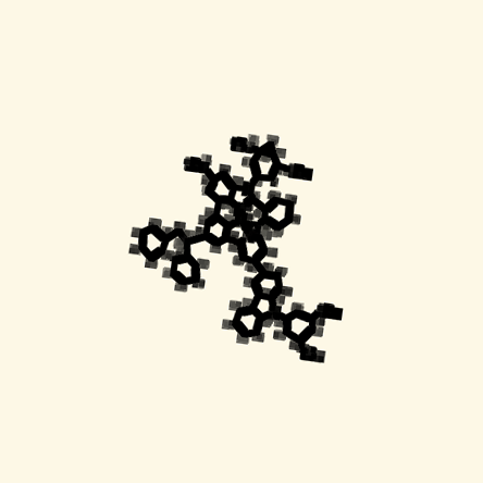 CC(C)(C)C1=CC(n2c3[n+]4c5c(cc(C(C)(C)C)cc52)-c2cc([C@H](Cc5ccccc5)c5ccccc5)cc5c2[N+]4(Oc2ccccc2-3)[n+]2ccc(-c3ccc4c(c3)c3ccccc3n4-c3cc(C(C)(C)C)cc(C(C)(C)C)c3)cc2-5)=CC2(C(C)(C)C)CC12